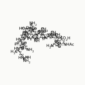 CC(=O)N[C@@H](CCC(=O)O)CN(CC(=O)N[C@@H](C)CN(CC(=O)N[C@@H](CCCNC(=N)N)CN(CC(=O)N[C@@H](CC(C)C)CN(CC(=O)N[C@H](CN(CC(=O)N[C@@H](CC(C)C)CN(CC(=O)N[C@H](C)CCCNC(=N)N)S(=O)(=O)CCN)S(=O)(=O)CC(C)C)C(C)O)S(=O)(=O)CCN)S(C)(=O)=O)S(C)(=O)=O)S(=O)(=O)CCN